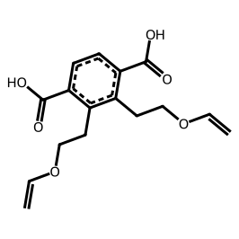 C=COCCc1c(C(=O)O)ccc(C(=O)O)c1CCOC=C